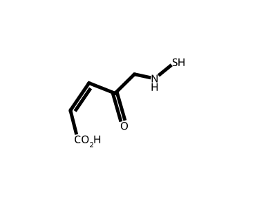 O=C(O)/C=C\C(=O)CNS